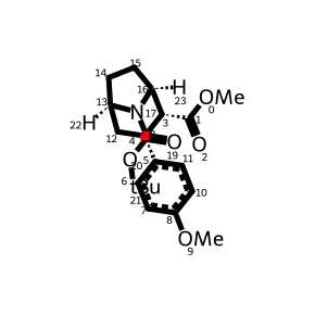 COC(=O)[C@@H]1[C@H](c2ccc(OC)cc2)C[C@H]2CC[C@@H]1N2C(=O)OC(C)(C)C